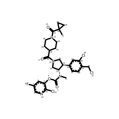 CN(C(=O)Oc1cc(F)cnc1Cl)[C@@H]1CN(C(=O)C2CCN(C(=O)C3(C)CC3)CC2)C[C@H]1c1ccc(CCl)c(Cl)c1